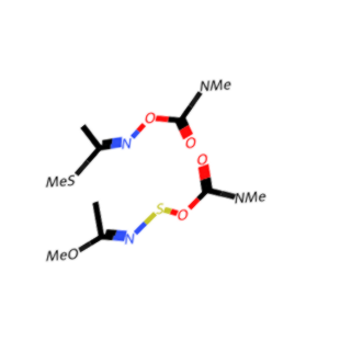 CNC(=O)O/N=C(\C)SC.CNC(=O)OS/N=C(\C)OC